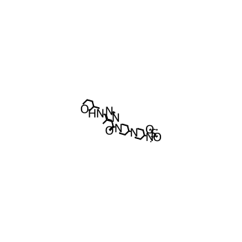 Cc1c(NCC2CCCOC2)ncnc1C(=O)N1CCC(N2CCC(N(C)S(C)(=O)=O)CC2)CC1